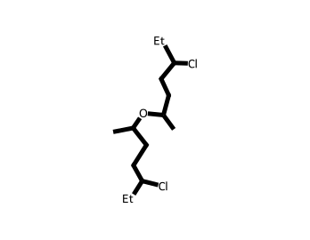 CCC(Cl)CCC(C)OC(C)CCC(Cl)CC